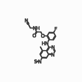 Cc1cc(N=S)cc2ncnc(Nc3ccc(F)cc3OCC(=O)NCC#N)c12